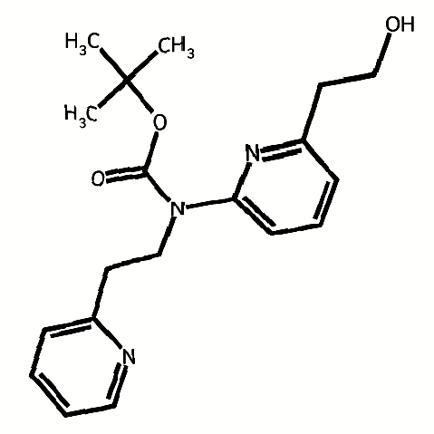 CC(C)(C)OC(=O)N(CCc1ccccn1)c1cccc(CCO)n1